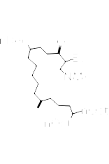 C=C(CCCCCC(CCCCCCCCCC)CCC(=O)C(CC)CNC)CCCC(CCCCCCCC)CCCCCCCC